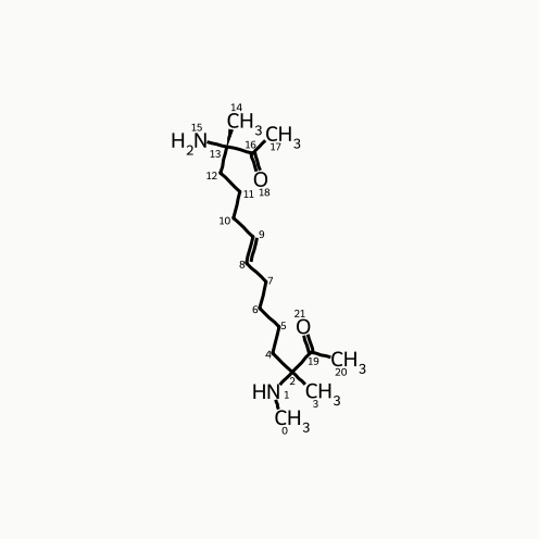 CNC(C)(CCCC/C=C/CCC[C@](C)(N)C(C)=O)C(C)=O